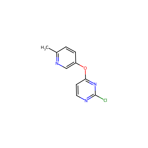 Cc1ccc(Oc2ccnc(Cl)n2)cn1